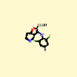 CCOC(=O)c1oc2ccncc2c1Nc1c(F)cc(I)cc1F